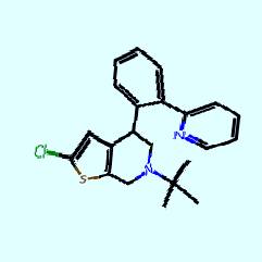 CC(C)(C)N1Cc2sc(Cl)cc2C(c2ccccc2-c2ccccn2)C1